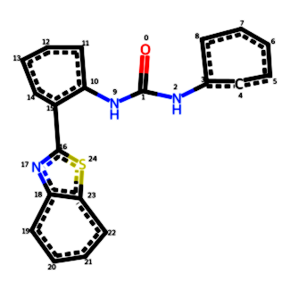 O=C(Nc1ccccc1)Nc1ccccc1-c1nc2ccccc2s1